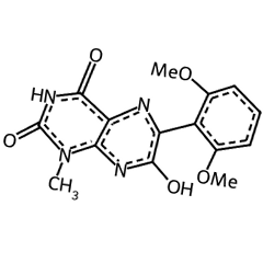 COc1cccc(OC)c1-c1nc2c(=O)[nH]c(=O)n(C)c2nc1O